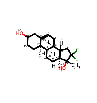 CC1(O)C(F)(F)C[C@H]2[C@@H]3CC=C4CC(O)CC[C@]4(C)[C@@H]3CC[C@@]21C